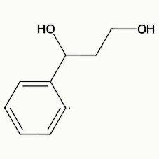 OCCC(O)c1[c]cccc1